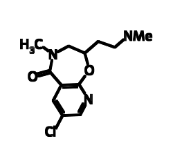 CNCCC1CN(C)C(=O)c2cc(Cl)cnc2O1